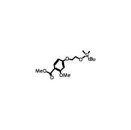 COC(=O)c1ccc(OCCO[Si](C)(C)C(C)(C)C)cc1OC